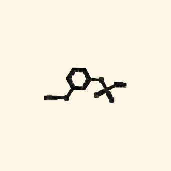 CCCCCCOc1cccc(OS(=O)(=O)NC)c1